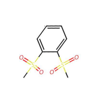 CS(=O)(=O)c1c[c]ccc1S(C)(=O)=O